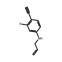 C#Cc1ccc(NCC=C)cc1F